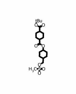 CC(C)(C)OC(=O)C1CCC(C(=O)OC2CCC(COS(C)(=O)=O)CC2)CC1